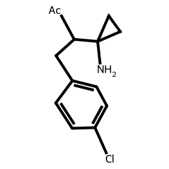 CC(=O)C(Cc1ccc(Cl)cc1)C1(N)CC1